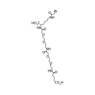 O=C(O)CCCC(=O)NCCOCCOCC(=O)NCCOCCOCC(=O)NC(CCCCNC(=O)CBr)C(=O)O